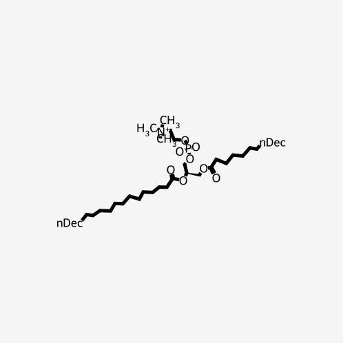 CCCCCCCCCCCCCCCCCCCCCCC(=O)O[C@H](COC(=O)CCCCCCCCCCCCCCCC)COP(=O)([O-])OCC[N+](C)(C)C